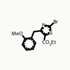 CCOC(=O)c1sc(Br)nc1Cc1ccccc1OC